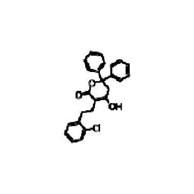 O=C1OC(c2ccccc2)(c2ccccc2)CC(O)=C1CCc1ccccc1Cl